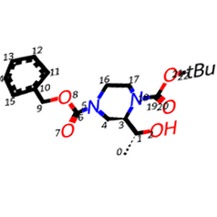 C[C@@H](O)[C@H]1CN(C(=O)OCc2ccccc2)CCN1C(=O)OC(C)(C)C